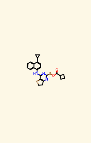 O=C(OSc1nc2c(c(Nc3ccc(C4CC4)c4ccccc34)n1)SCC2)C1CCC1